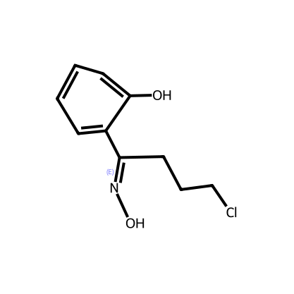 O/N=C(\CCCCl)c1ccccc1O